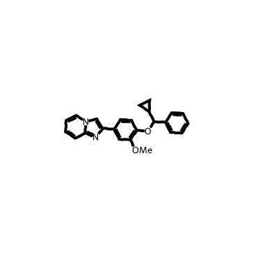 COc1cc(-c2cn3ccccc3n2)ccc1OC(c1ccccc1)C1CC1